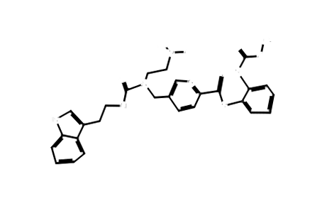 CN(C)CCN(Cc1ccc(C(=O)Nc2ccccc2NC(=O)OC(C)(C)C)nc1)C(=O)NCCc1c[nH]c2ccccc12